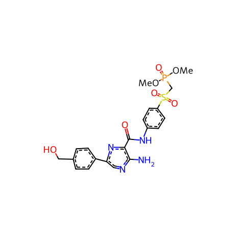 COP(=O)(CS(=O)(=O)c1ccc(NC(=O)c2nc(-c3ccc(CO)cc3)cnc2N)cc1)OC